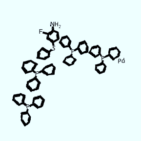 Nc1ccc(Sc2ccccc2)cc1F.[Pd].c1ccc(P(c2ccccc2)c2ccccc2)cc1.c1ccc(P(c2ccccc2)c2ccccc2)cc1.c1ccc(P(c2ccccc2)c2ccccc2)cc1.c1ccc(P(c2ccccc2)c2ccccc2)cc1